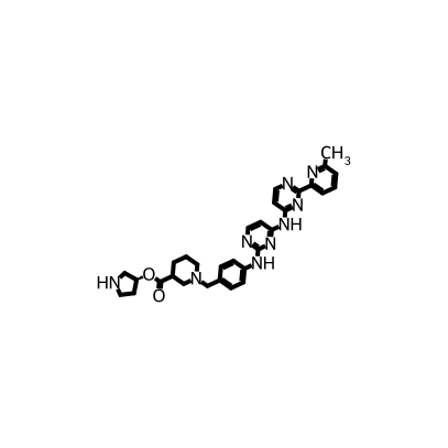 Cc1cccc(-c2nccc(Nc3ccnc(Nc4ccc(CN5CCCC(C(=O)O[C@H]6CCNC6)C5)cc4)n3)n2)n1